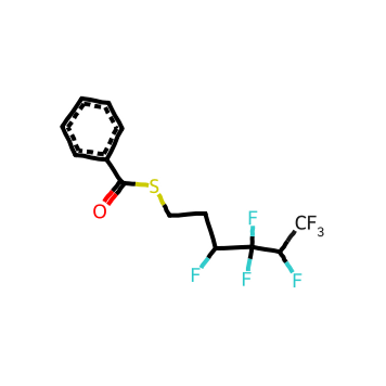 O=C(SCCC(F)C(F)(F)C(F)C(F)(F)F)c1ccccc1